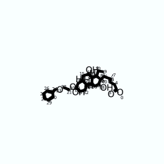 COC(=O)CC[C@@H](C)[C@H]1CC[C@H]2[C@@H]3[C@H](O)C[C@@H]4C[C@@](O)(OCCOCc5ccccc5)CC[C@]4(C)[C@H]3C[C@H](O)[C@]12C